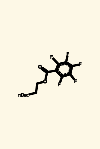 CCCCCCCCCCCCOC(=O)c1c(F)c(F)c(F)c(F)c1F